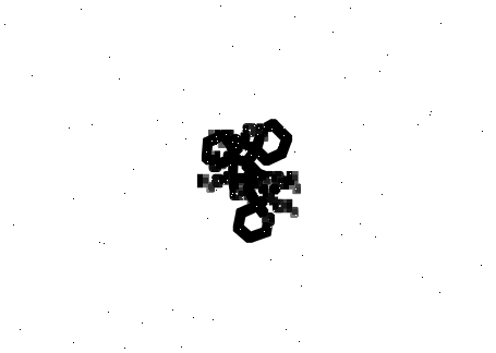 C[Si](C)(C)C1(CC(C(=O)O)=C(C2([Si](C)(C)C)CCCCO2)C2([Si](C)(C)C)CCCCO2)CCCCO1